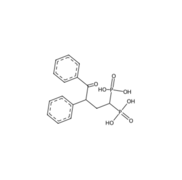 O=C(c1ccccc1)C(CC(P(=O)(O)O)P(=O)(O)O)c1ccccc1